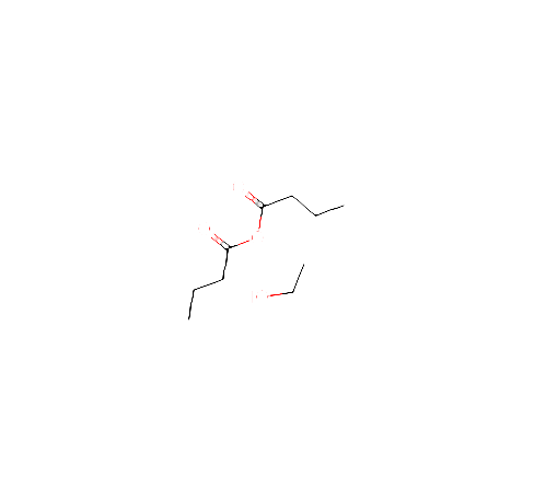 CCCC(=O)OC(=O)CCC.CCO